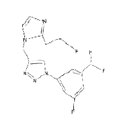 FCCc1nccn1Cc1cn(-c2cc(F)cc(C(F)F)c2)nn1